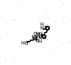 CC1=NN(CCCCO)C(=O)C1=NNc1cccc(CCc2ccccc2CN)c1O